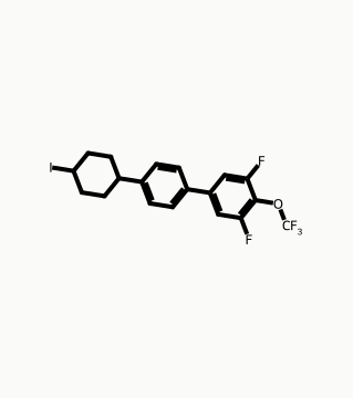 Fc1cc(-c2ccc(C3CCC(I)CC3)cc2)cc(F)c1OC(F)(F)F